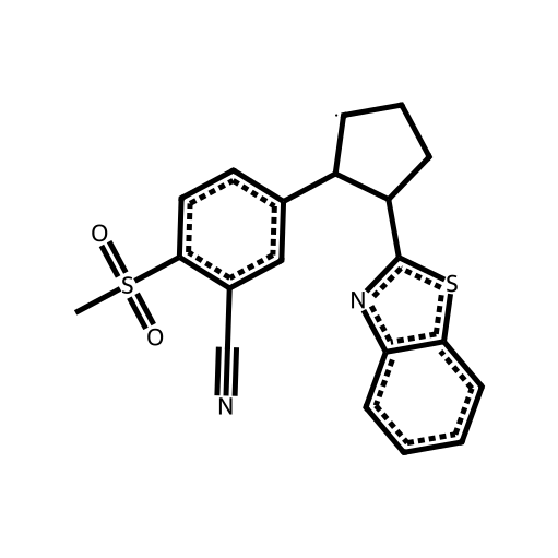 CS(=O)(=O)c1ccc(C2[CH]CCC2c2nc3ccccc3s2)cc1C#N